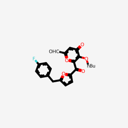 CCCCOc1c(C(=O)c2ccc(Cc3ccc(F)cc3)o2)oc(C=O)cc1=O